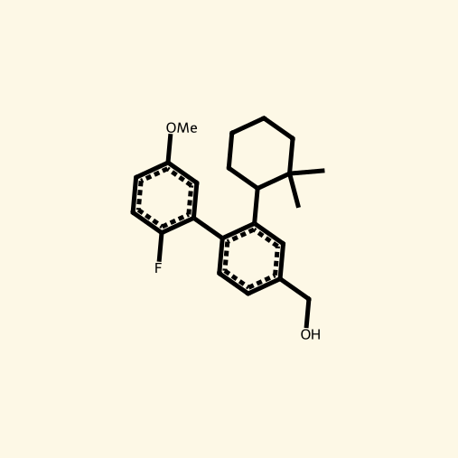 COc1ccc(F)c(-c2ccc(CO)cc2C2CCCCC2(C)C)c1